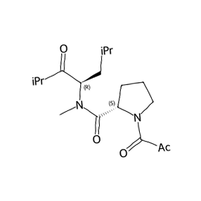 CC(=O)C(=O)N1CCC[C@H]1C(=O)N(C)[C@H](CC(C)C)C(=O)C(C)C